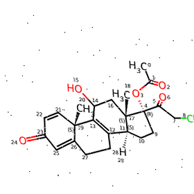 CC(=O)O[C@]1(C(=O)CCl)CC[C@H]2C3=C(C(O)C[C@@]21C)[C@@]1(C)C=CC(=O)C=C1CC3